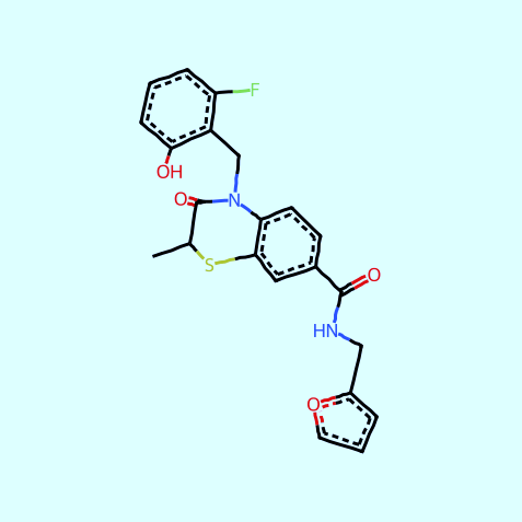 CC1Sc2cc(C(=O)NCc3ccco3)ccc2N(Cc2c(O)cccc2F)C1=O